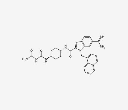 N=C(N)c1ccc2cc(C(=O)N[C@H]3CC[C@H](NC(=O)NC(N)=O)CC3)n(Cc3cccc4ccccc34)c2c1